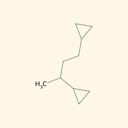 CC(CCC1CC1)C1CC1